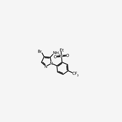 CCS(=O)(=O)c1cc(C(F)(F)F)ccc1-n1ncc(Br)c1N